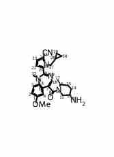 COc1ccc2c(c1)C(C(=O)N1C[C@H](N)CC[C@@H]1C)=CN=C(c1ccc(C#N)n1CC1CC1)N2C